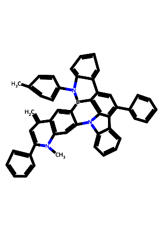 C=C1C=C(c2ccccc2)N(C)c2cc3c(cc21)B1c2c(cc(-c4ccccc4)c4c5ccccc5n-3c24)-c2ccccc2N1c1ccc(C)cc1